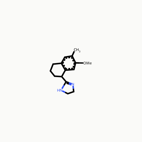 COc1cc2c(cc1C)CCCC2C1=NCCN1